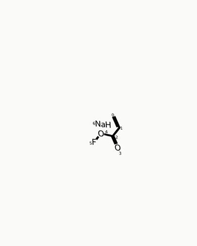 C=CC(=O)OF.[NaH]